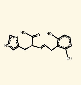 O=C(O)[C@H](Cc1c[nH]cn1)N=CCc1c(O)cccc1O